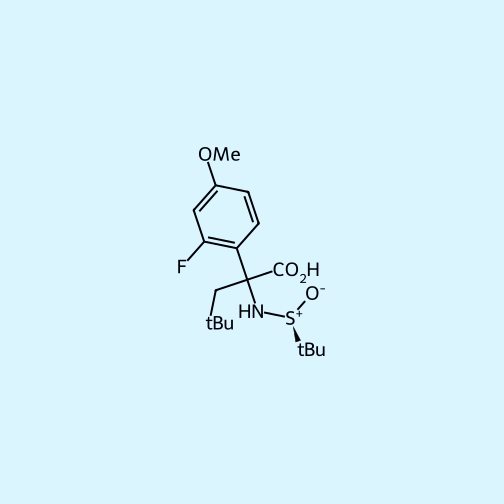 COc1ccc(C(CC(C)(C)C)(N[S@@+]([O-])C(C)(C)C)C(=O)O)c(F)c1